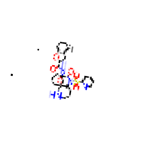 [2H]c1cccc2c1CC(C(=O)NC1(C(=O)N([C@H]3CCCNCC3=O)S(=O)(=O)c3ccccn3)CCCCC1)O2